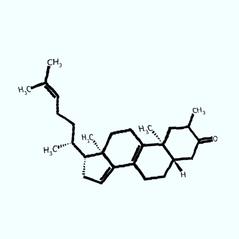 CC(C)=CCC[C@@H](C)[C@H]1CC=C2C3=C(CC[C@@]21C)[C@@]1(C)CC(C)C(=O)C[C@@H]1CC3